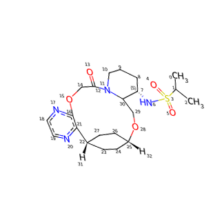 CC(C)S(=O)(=O)N[C@H]1CCCN2C(=O)COc3nccnc3[C@H]3CC[C@H](CC3)OCC12